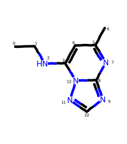 CCNc1cc(C)nc2ncnn12